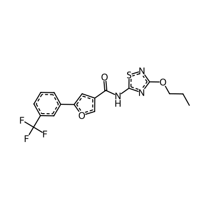 CCCOc1nsc(NC(=O)c2coc(-c3cccc(C(F)(F)F)c3)c2)n1